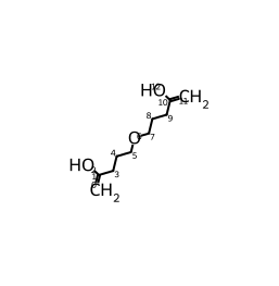 C=C(O)CCCOCCCC(=C)O